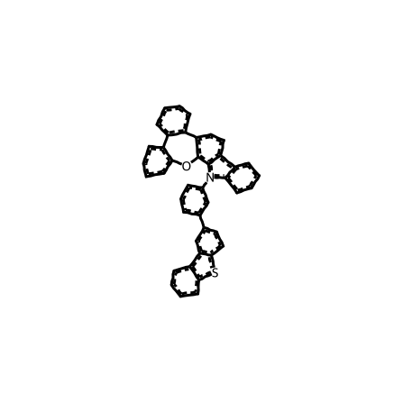 c1cc(-c2ccc3sc4ccccc4c3c2)cc(-n2c3ccccc3c3ccc4c(c32)Oc2ccccc2-c2ccccc2-4)c1